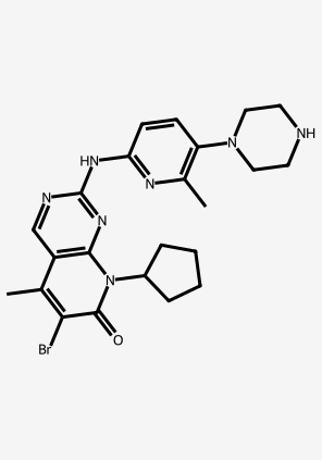 Cc1nc(Nc2ncc3c(C)c(Br)c(=O)n(C4CCCC4)c3n2)ccc1N1CCNCC1